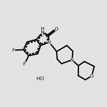 Cl.O=c1[nH]c2cc(F)c(F)cc2n1C1CCN(C2CCOCC2)CC1